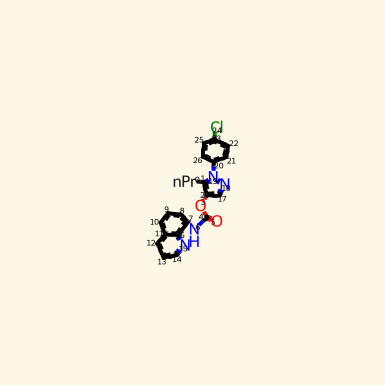 CCCc1c(OC(=O)Nc2cccc3cccnc23)cnn1-c1ccc(Cl)cc1